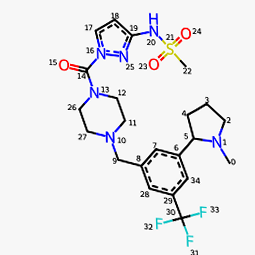 CN1CCCC1c1cc(CN2CCN(C(=O)n3ccc(NS(C)(=O)=O)n3)CC2)cc(C(F)(F)F)c1